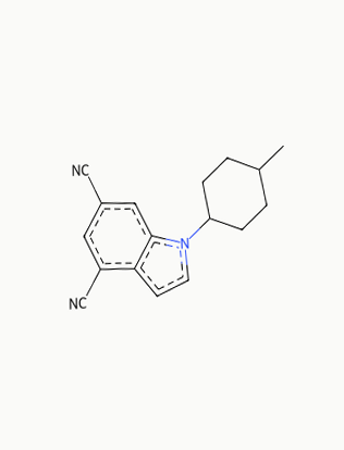 CC1CCC(n2ccc3c(C#N)cc(C#N)cc32)CC1